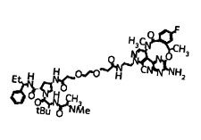 CC[C@@H](NC(=O)[C@@H]1C[C@H](NC(=O)CCOCCOCCC(=O)NCCN2N=CC3C(=C2C#N)c2cnc(N)c(n2)O[C@H](C)c2cc(F)ccc2C(=O)N3C)CN1C(=O)[C@@H](NC(=O)[C@H](C)NC)C(C)(C)C)c1ccccc1